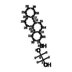 CC(C)(O)C(C)(C)OBc1ccc2c(ccc3c4ccccc4ccc23)c1